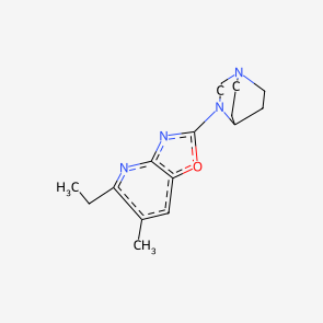 CCc1nc2nc(N3CCN4CCC3CC4)oc2cc1C